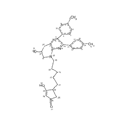 Cc1ccc(-c2nc3c(nc2-c2ccc(C)cc2)N(CCCCCC2CC(=O)C=C2O)CC(O)C3)cc1